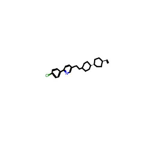 C=C[C@H]1CC[C@H](C2CCC(CCc3ccc(-c4ccc(Cl)cc4)nc3)CC2)CC1